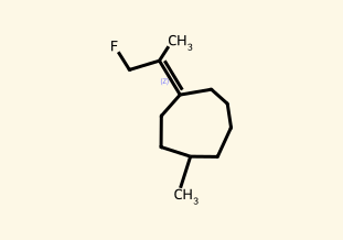 C/C(CF)=C1\CCCCC(C)CC1